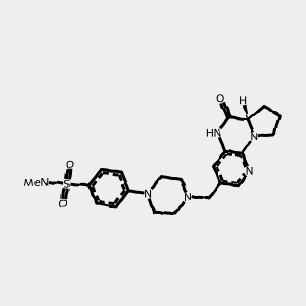 CNS(=O)(=O)c1ccc(N2CCN(Cc3cnc4c(c3)NC(=O)[C@@H]3CCCN43)CC2)cc1